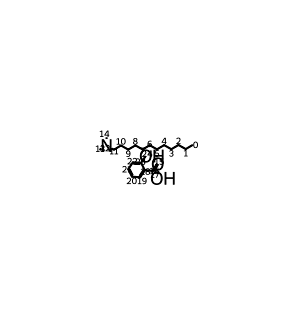 CCCCCCCCCCCCN(C)C.O=C(O)c1ccccc1O